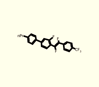 CCCc1ccc(-c2ccc(/C(F)=C(\F)c3ccc(C(F)(F)F)cc3)c(F)c2)cc1